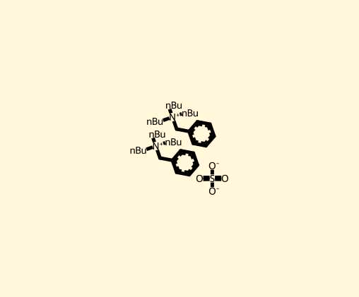 CCCC[N+](CCCC)(CCCC)Cc1ccccc1.CCCC[N+](CCCC)(CCCC)Cc1ccccc1.O=S(=O)([O-])[O-]